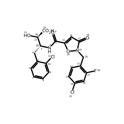 O=C(N[C@H](Cc1ccccc1Cl)[C@@H](O)C(=O)O)c1cc(=O)n(Cc2ccc(Cl)cc2F)o1